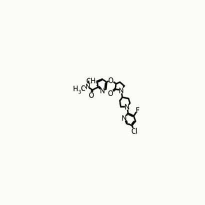 CN(C)C(=O)c1ccc(OC2CCN(C3CCN(c4ncc(Cl)cc4F)CC3)C2=O)cn1